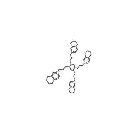 c1c[n+](CCCc2cc(CCC[n+]3ccc4c(c3)CCCC4)c(CCC[n+]3ccc4c(c3)CCCC4)cc2CCC[n+]2ccc3c(c2)CCCC3)cc2c1CCCC2